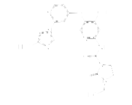 CCN1CCN(C(=O)Nc2cc(C)c(Oc3ccnc(-n4cnc(C)c4)c3)cn2)C1=O